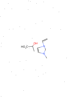 C=CN1C=CN(C)C1.CC(O)C(=O)O